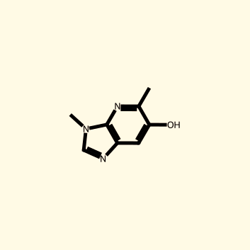 Cc1nc2c(cc1O)ncn2C